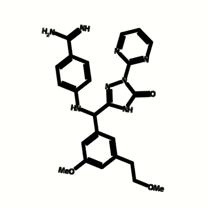 COCCc1cc(OC)cc(C(Nc2ccc(C(=N)N)cc2)c2nn(-c3ncccn3)c(=O)[nH]2)c1